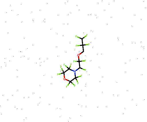 FC(F)C(F)(F)COC(F)(F)C(F)N1C(F)(F)C(F)(F)OC(F)(F)C1(F)F